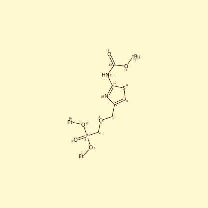 CCOP(=O)(COCc1csc(NC(=O)OC(C)(C)C)n1)OCC